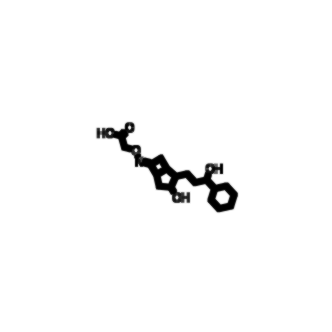 O=C(O)CON=C1CC2C1CC(O)C2CCC(O)C1CCCCC1